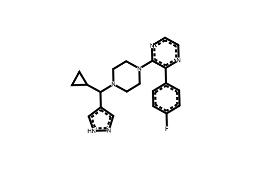 Fc1ccc(-c2nccnc2N2CCN(C(c3cn[nH]c3)C3CC3)CC2)cc1